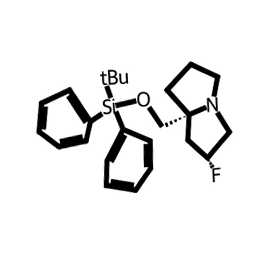 CC(C)(C)[Si](OC[C@]12CCCN1C[C@H](F)C2)(c1ccccc1)c1ccccc1